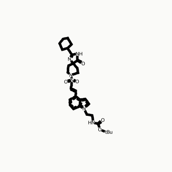 CC(C)(C)OC(=O)NCCn1ccc2c(/C=C/S(=O)(=O)N3CCC4(CC3)N=C(C3CCCCC3)NC4=O)cccc21